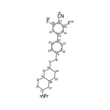 CCCC1CCC2CC(CCc3ccc(-c4cc(F)c(C#N)c(F)c4)cc3)CCC2C1